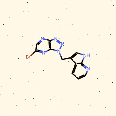 Brc1cnc2nnn(Cc3c[nH]c4ncccc34)c2n1